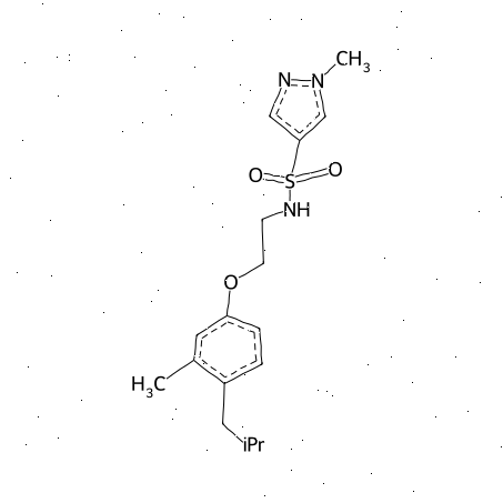 Cc1cc(OCCNS(=O)(=O)c2cnn(C)c2)ccc1CC(C)C